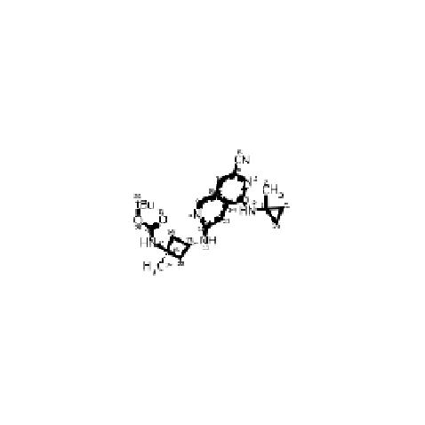 CC1(Nc2nc(C#N)cc3cnc(N[C@H]4C[C@](C)(NC(=O)OC(C)(C)C)C4)cc23)CC1